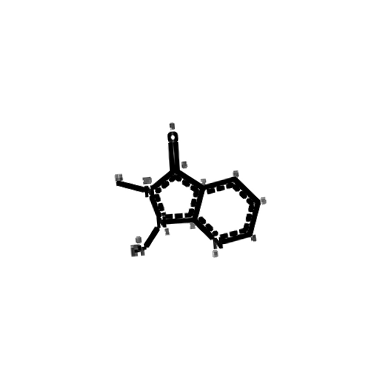 CC(C)n1c2ncccc2c(=O)n1C